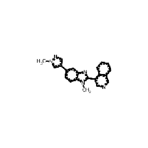 Cn1cc(-c2ccc3c(c2)nc(-c2cncc4ccccc24)n3C)cn1